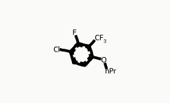 CCCOc1ccc(Cl)c(F)c1C(F)(F)F